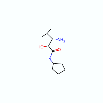 CC(C)[C@H](N)C(O)C(=O)NC1CCCC1